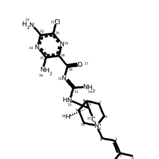 CC(C)=CC[N+]12CCC(CC1)[C@H](N/C(N)=N/C(=O)c1nc(Cl)c(N)nc1N)C2